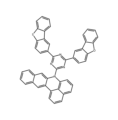 c1ccc2cc3c(cc2c1)-c1cccc2cccc(c12)N3c1nc(-c2ccc3oc4ccccc4c3c2)nc(-c2ccc3sc4ccccc4c3c2)n1